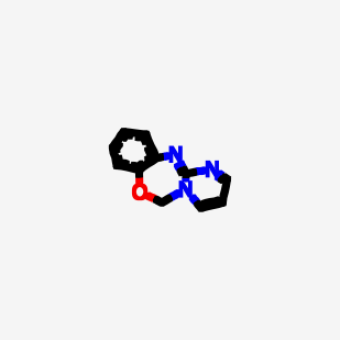 C1=CN2COc3ccccc3N=C2N=C1